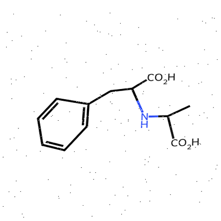 CC(NC(Cc1ccccc1)C(=O)O)C(=O)O